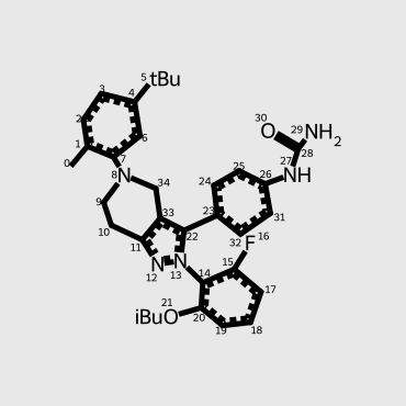 Cc1ccc(C(C)(C)C)cc1N1CCc2nn(-c3c(F)cccc3OCC(C)C)c(-c3ccc(NC(N)=O)cc3)c2C1